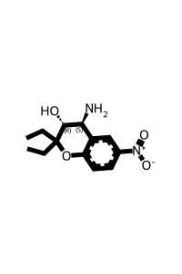 CCC1(CC)Oc2ccc([N+](=O)[O-])cc2[C@H](N)[C@H]1O